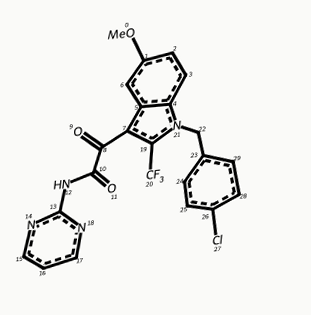 COc1ccc2c(c1)c(C(=O)C(=O)Nc1ncccn1)c(C(F)(F)F)n2Cc1ccc(Cl)cc1